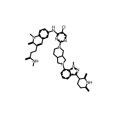 C=C(CCC1=Cc2cc(Nc3nc(N4CCC5CN(c6cccc7c(C8CCC(=C)NC8=C)nn(C)c67)CC5C4)ncc3Cl)ccc2N(C)C1=C)NC